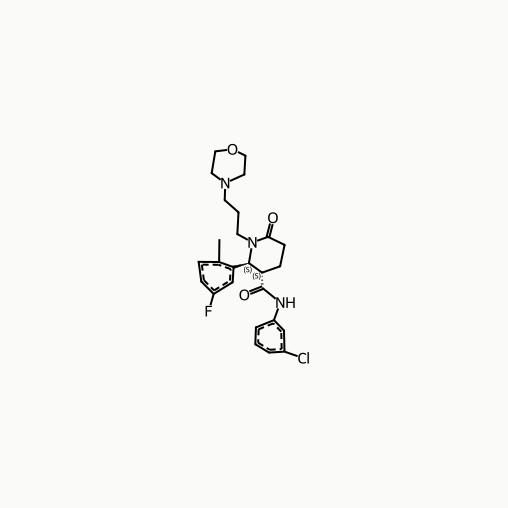 Cc1ccc(F)cc1[C@@H]1[C@@H](C(=O)Nc2cccc(Cl)c2)CCC(=O)N1CCCN1CCOCC1